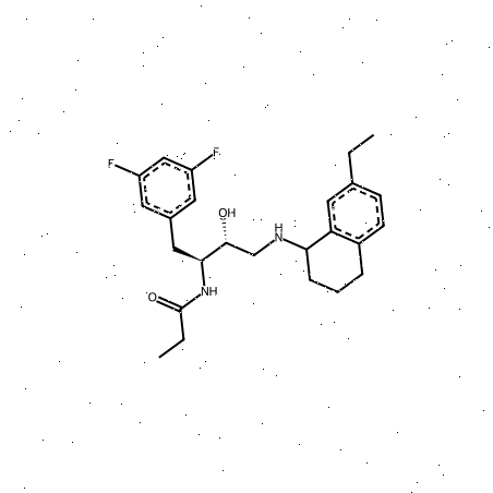 CCC(=O)N[C@@H](Cc1cc(F)cc(F)c1)[C@H](O)CNC1CCCc2ccc(CC)cc21